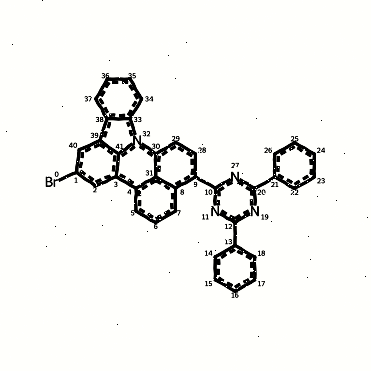 Brc1cc2c3cccc4c(-c5nc(-c6ccccc6)nc(-c6ccccc6)n5)ccc(c43)n3c4ccccc4c(c1)c23